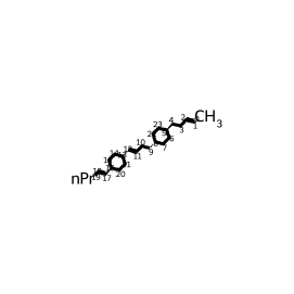 C/C=C/CC[C@H]1CC[C@H](CC/C=C/[C@H]2CC[C@H](/C=C/CCC)CC2)CC1